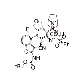 CCS(=O)(=O)c1nc(N2C3CCC2CN(C(=O)O)C3)c2c3c(c(-c4c(F)ccc5oc(NC(=O)OC(C)(C)C)c(C#N)c45)c(F)c2n1)COC3